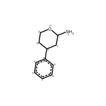 [SiH3]C1CC(c2ccccc2)CCO1